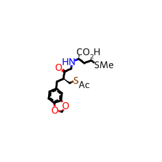 CSCC[C@H](NCC(=O)[C@@H](CSC(C)=O)Cc1ccc2c(c1)OCO2)C(=O)O